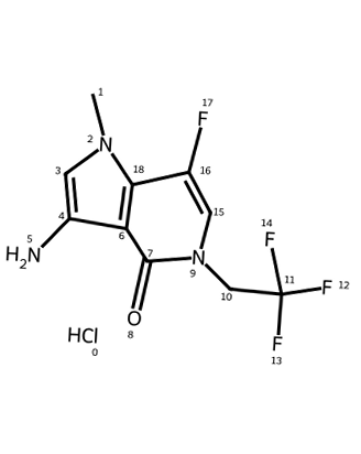 Cl.Cn1cc(N)c2c(=O)n(CC(F)(F)F)cc(F)c21